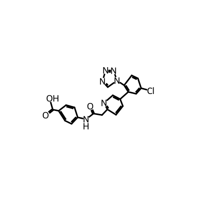 O=C(Cc1ccc(-c2cc(Cl)ccc2-n2cnnn2)cn1)Nc1ccc(C(=O)O)cc1